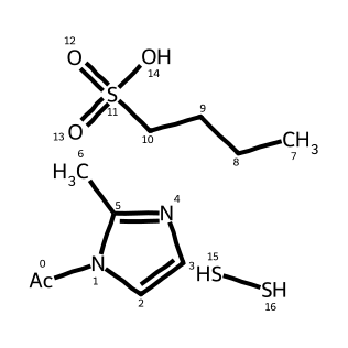 CC(=O)n1ccnc1C.CCCCS(=O)(=O)O.SS